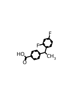 CC(c1ccc(C(=O)O)cc1)c1ccc(F)cc1F